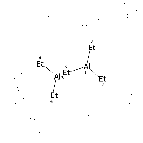 C[CH2][Al]([CH2]C)[CH2]C.C[CH2][Al][CH2]C